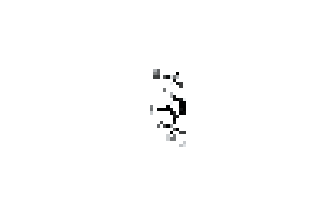 CCc1c(S(N)(=O)=O)ccn1O[Si](C)(C)C(C)(C)C